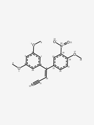 COc1cc(OC)cc(/C(=C\C#N)c2ccc(OC)c([N+](=O)[O-])c2)c1